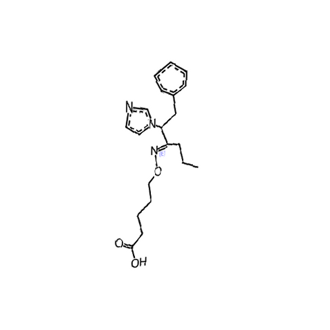 CCC/C(=N\OCCCCC(=O)O)C(Cc1ccccc1)n1ccnc1